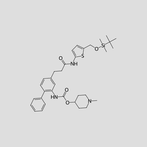 CN1CCC(OC(=O)Nc2cc(CCC(=O)Nc3ccc(CO[Si](C)(C)C(C)(C)C)s3)ccc2-c2ccccc2)CC1